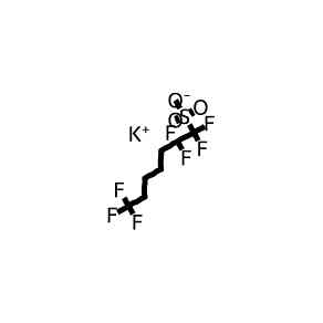 O=S(=O)([O-])C(F)(F)C(F)(F)CCCCC(F)(F)F.[K+]